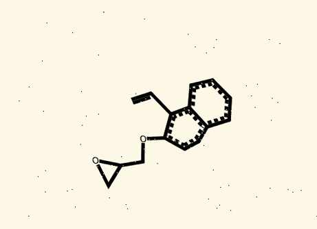 C=Cc1c(OCC2CO2)ccc2ccccc12